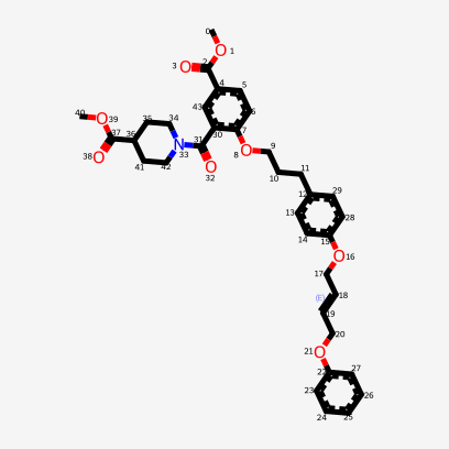 COC(=O)c1ccc(OCCCc2ccc(OC/C=C/COc3ccccc3)cc2)c(C(=O)N2CCC(C(=O)OC)CC2)c1